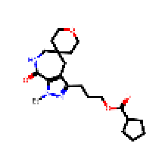 CCn1nc(CCCOC(=O)C2CCCC2)c2c1C(=O)NCC1(CCOCC1)C2